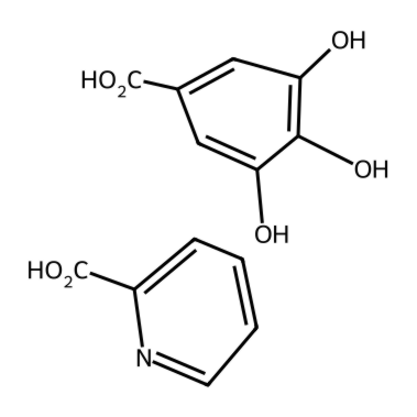 O=C(O)c1cc(O)c(O)c(O)c1.O=C(O)c1ccccn1